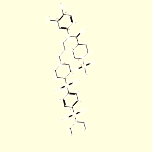 CCN(CC)S(=O)(=O)c1ccc(S(=O)(=O)C2CCN(CCCN(C(=O)C3CCN(S(C)(=O)=O)CC3)c3ccc(Cl)c(Cl)c3)CC2)cc1